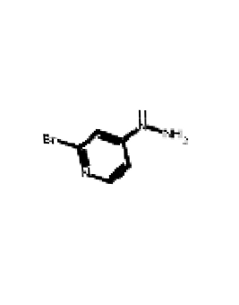 NNc1ccnc(Br)c1